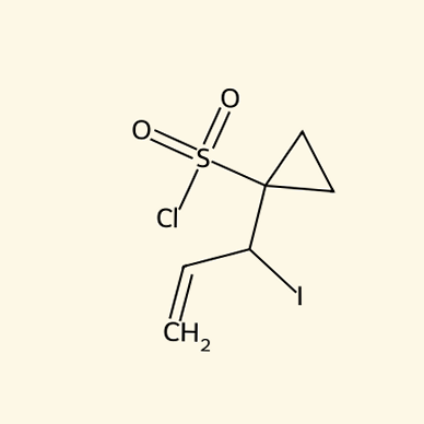 C=CC(I)C1(S(=O)(=O)Cl)CC1